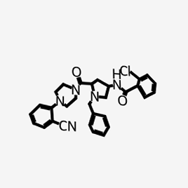 N#Cc1ccccc1N1CCN(C(=O)C2CC(NC(=O)c3ccccc3Cl)CN2Cc2ccccc2)CC1